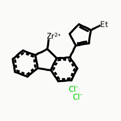 CCC1=CCC(c2cccc3c2[CH]([Zr+2])c2ccccc2-3)=C1.[Cl-].[Cl-]